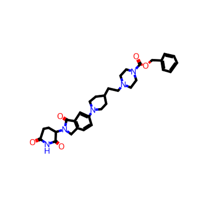 O=C1CCC(N2Cc3ccc(N4CCC(CCN5CCN(C(=O)OCc6ccccc6)CC5)CC4)cc3C2=O)C(=O)N1